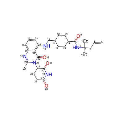 C=CCC(CC)(CC)NC(=O)C1CCC(CNc2cccc3nc(C)n(C4CCC(=O)NC4=O)c(=O)c23)CC1